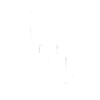 Cl.O=C(c1ccc(NC2CNC2)cc1Cl)N1CC(F)(F)C1